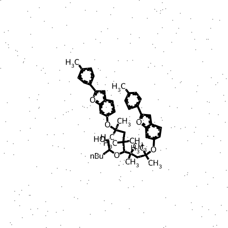 CCCCC(CO)OC(C(C)(C)CC(C)(C)Oc1ccc2cc(-c3ccc(C)cc3)oc2c1)C(C)(C)CC(C)(C)Oc1ccc2cc(-c3ccc(C)cc3)oc2c1